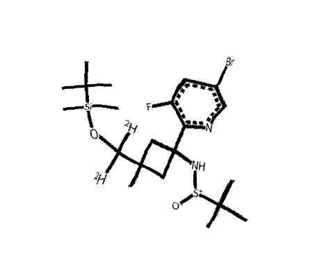 [2H]C([2H])(O[Si](C)(C)C(C)(C)C)C1(C)CC(N[S+]([O-])C(C)(C)C)(c2ncc(Br)cc2F)C1